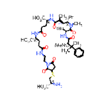 CN[C@H](C(=O)NC(C(=O)N(C)[C@H](/C=C(\C)C(=O)N[C@H](CCC(=O)N[C@H](CCC(=O)NCCN1C(=O)CC(SC[C@H](N)C(=O)O)C1=O)C(=O)O)C(=O)O)C(C)C)C(C)(C)C)C(C)(C)c1ccccc1